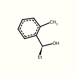 CC[C@H](O)c1ccccc1C